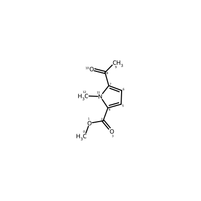 COC(=O)c1ccc(C(C)=O)n1C